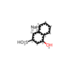 O=S(=O)(O)c1cc(O)c2ccccc2c1.[NaH]